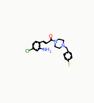 Nc1cc(Cl)ccc1/C=C/C(=O)N1CCN(Cc2ccc(F)cc2)CC1